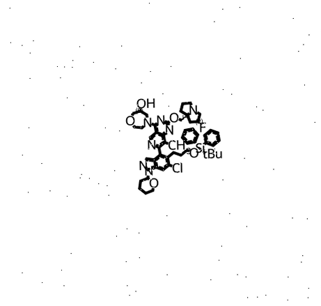 Cc1c(-c2c(CCCO[Si](c3ccccc3)(c3ccccc3)C(C)(C)C)c(Cl)cc3c2cnn3C2CCCCO2)ncc2c(N3CCOC[C@@H](O)C3)nc(OC[C@@]34CCCN3C[C@H](F)C4)nc12